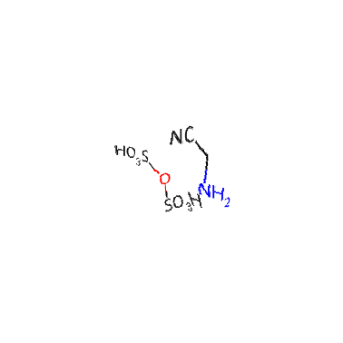 N#CCN.O=S(=O)(O)OS(=O)(=O)O